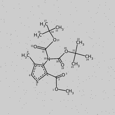 COC(=O)c1scc(C)c1N(C(=O)OC(C)(C)C)C(=O)OC(C)(C)C